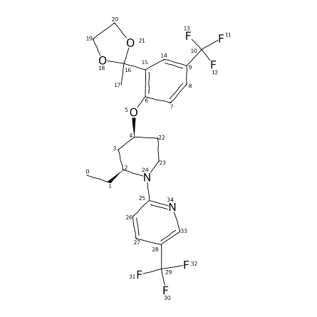 CC[C@H]1C[C@@H](Oc2ccc(C(F)(F)F)cc2C2(C)OCCO2)CCN1c1ccc(C(F)(F)F)cn1